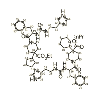 CCCOC(=O)C1(C2CCCCC2)CCN(C(=O)C(Cc2ccccc2)NC(=O)NCCc2c[nH]cn2)CC1.CCOC(=O)C1(C2CCCC2)CCN(C(=O)C(Cc2ccccc2)NC(=O)NCCc2c[nH]cn2)CC1